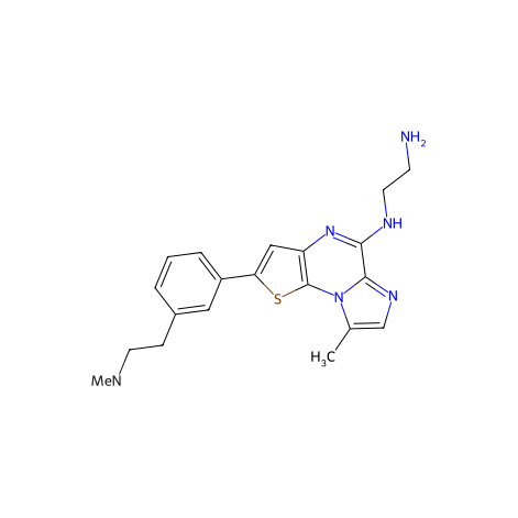 CNCCc1cccc(-c2cc3nc(NCCN)c4ncc(C)n4c3s2)c1